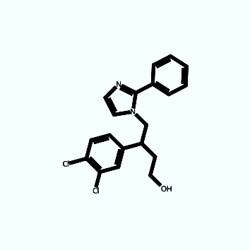 OCCC(Cn1ccnc1-c1ccccc1)c1ccc(Cl)c(Cl)c1